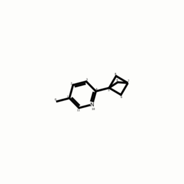 Cc1ccc(C23CC(C2)C3)nc1